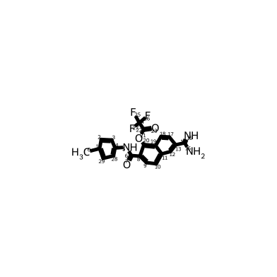 Cc1ccc(NC(=O)c2ccc3cc(C(=N)N)ccc3c2OC(=O)C(F)(F)F)cc1